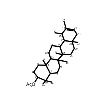 CC(=O)OC1CCC2(C)C(CCC3(C)C2CCC2C4C(C)C(C)=CCC4(C)CCC23C)C1(C)C